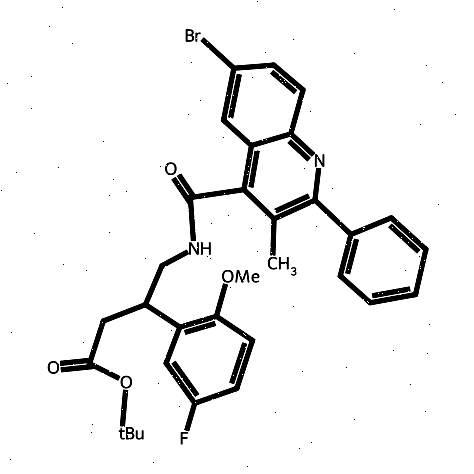 COc1ccc(F)cc1C(CNC(=O)c1c(C)c(-c2ccccc2)nc2ccc(Br)cc12)CC(=O)OC(C)(C)C